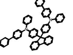 C1=CCCC(c2ccc(N(c3ccccc3)c3ccc(C4(c5ccc(N(c6ccccc6)c6ccc(-c7ccccc7)cc6)cc5)c5ccccc5-c5ccccc54)cc3)cc2)=C1